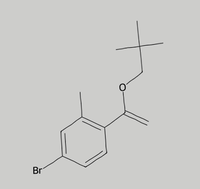 C=C(OCC(C)(C)C)c1ccc(Br)cc1C